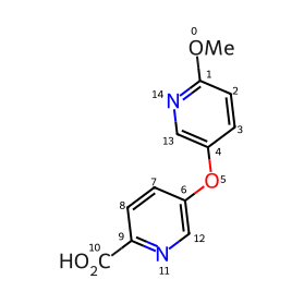 COc1ccc(Oc2ccc(C(=O)O)nc2)cn1